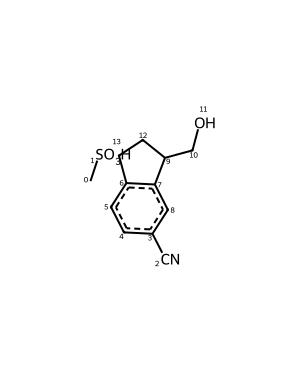 CS(=O)(=O)O.N#Cc1ccc2c(c1)C(CO)CC2